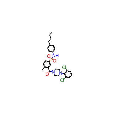 CCCCc1ccc(NS(=O)(=O)c2ccc(C)c(C(=O)N3CCN(c4c(Cl)cccc4Cl)CC3)c2)cc1